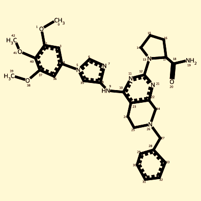 COc1cc(-n2cnc(Nc3nc(N4CCCC4C(N)=O)nc4c3CCN(Cc3ccccc3)C4)c2)cc(OC)c1OC